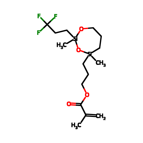 C=C(C)C(=O)OCCC[Si]1(C)CCCO[Si](C)(CCC(F)(F)F)O1